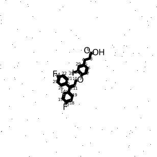 O=C(O)CCc1ccc(OCC=C(c2ccc(F)cc2)c2ccc(F)cc2)c(I)c1